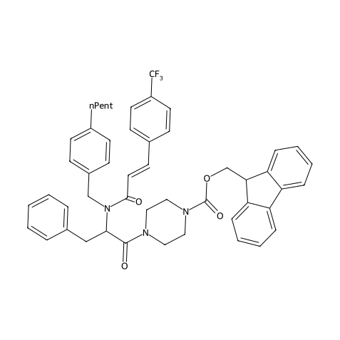 CCCCCc1ccc(CN(C(=O)C=Cc2ccc(C(F)(F)F)cc2)C(Cc2ccccc2)C(=O)N2CCN(C(=O)OCC3c4ccccc4-c4ccccc43)CC2)cc1